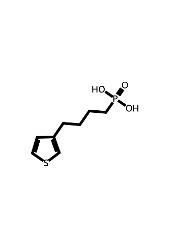 O=P(O)(O)CCCCc1ccsc1